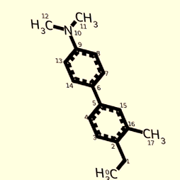 CCc1ccc(-c2ccc(N(C)C)cc2)cc1C